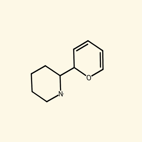 C1=COC(C2CCCC[N]2)C=C1